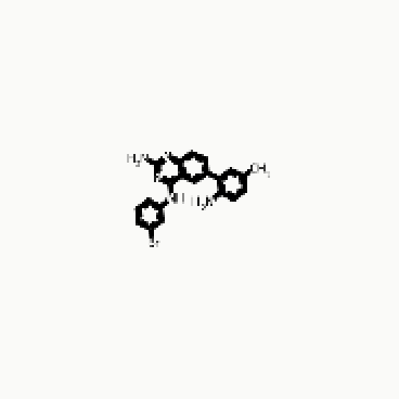 Cc1ccc(N)c(-c2ccc3nc(N)nc(Nc4cccc(Br)c4)c3c2)c1